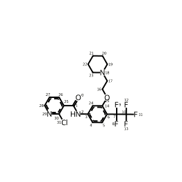 O=C(Nc1ccc(C(F)(F)C(F)(F)F)c(OCCN2CCCCC2)c1)c1cccnc1Cl